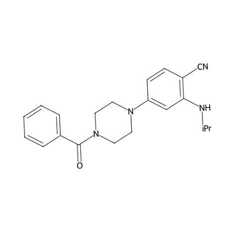 CC(C)Nc1cc(N2CCN(C(=O)c3ccccc3)CC2)ccc1C#N